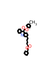 Cc1ccc(OC(=O)c2c3ccccc3nc3cc(C=CC=CC(=O)OCc4ccccc4)ccc23)cc1